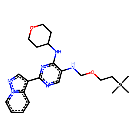 C[Si](C)(C)CCOCNc1cnc(-c2cnn3ccccc23)nc1NC1CCOCC1